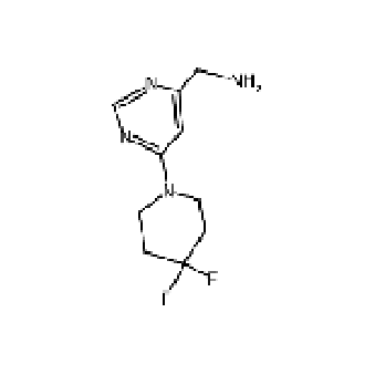 NCc1cc(N2CCC(F)(F)CC2)ncn1